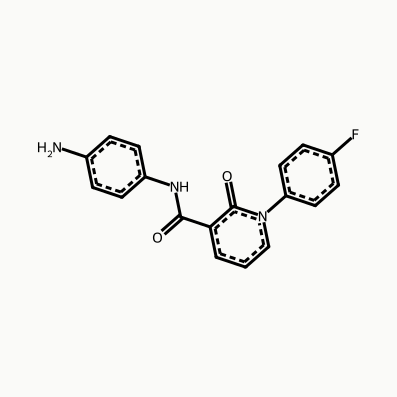 Nc1ccc(NC(=O)c2cccn(-c3ccc(F)cc3)c2=O)cc1